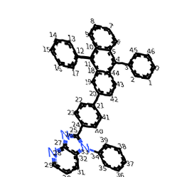 c1ccc(-c2c3ccccc3c(-c3ccccc3)c3cc(-c4ccc(-c5nc6ncccc6n5-c5ccccc5)cc4)ccc23)cc1